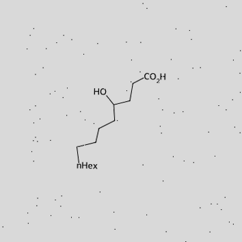 CCCCCCCCC[CH]C(O)CCC(=O)O